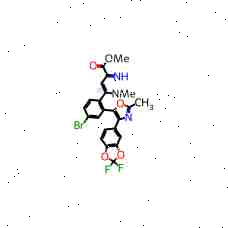 CN/C(=C\C(=N)C(=O)OC)c1ccc(Br)cc1-c1oc(C)nc1-c1ccc2c(c1)OC(F)(F)O2